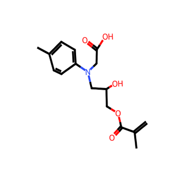 C=C(C)C(=O)OCC(O)CN(CC(=O)O)c1ccc(C)cc1